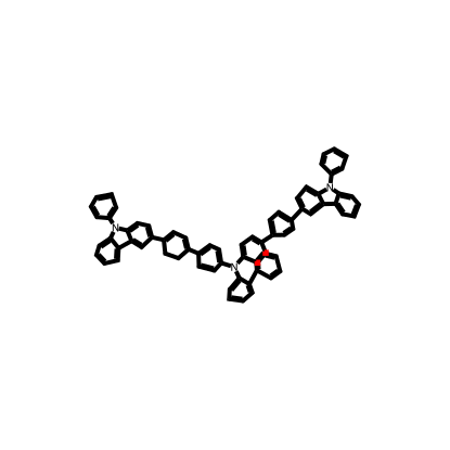 C1=C(c2ccc(N(c3ccc(-c4ccc(-c5ccc6c(c5)c5ccccc5n6-c5ccccc5)cc4)cc3)c3ccccc3-c3ccccc3)cc2)CCC(c2ccc3c(c2)c2ccccc2n3-c2ccccc2)=C1